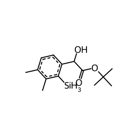 Cc1ccc(C(O)C(=O)OC(C)(C)C)c([SiH3])c1C